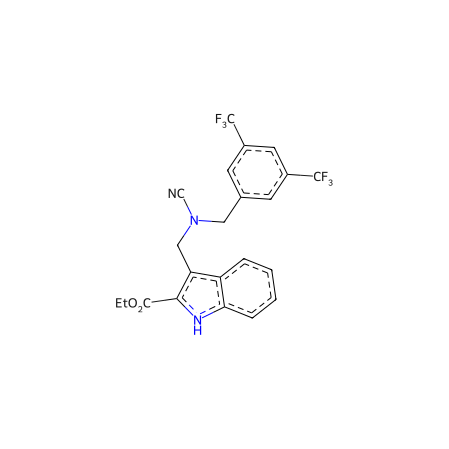 CCOC(=O)c1[nH]c2ccccc2c1CN(C#N)Cc1cc(C(F)(F)F)cc(C(F)(F)F)c1